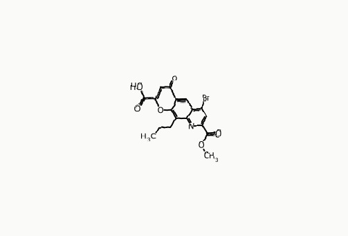 CCCc1c2nc(C(=O)OC)cc(Br)c2cc2c(=O)cc(C(=O)O)oc12